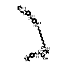 Cc1ncsc1-c1ccc(CNC(=O)[C@@H]2C[C@@H](O)CN2C(=O)[C@@H](NC(=O)CCCCCCCCCCCNC(=O)c2ccc(C(=O)Nc3ccc4[nH]c(CN5CCC[C@@H]5C)nc4c3)cc2)C(C)(C)C)cc1